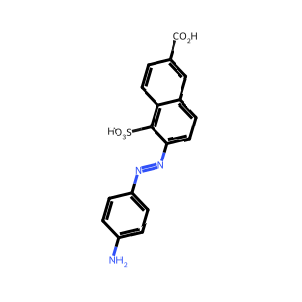 Nc1ccc(N=Nc2ccc3cc(C(=O)O)ccc3c2S(=O)(=O)O)cc1